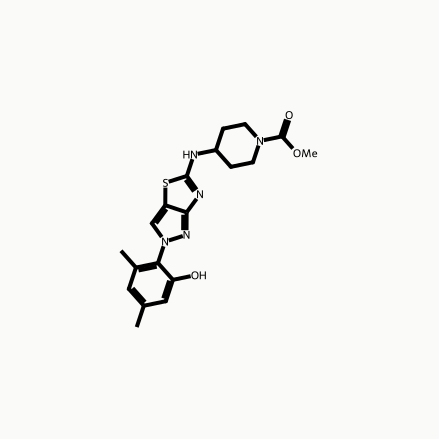 COC(=O)N1CCC(Nc2nc3nn(-c4c(C)cc(C)cc4O)cc3s2)CC1